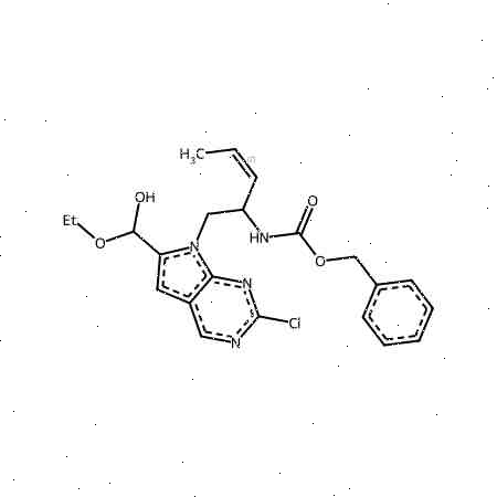 C/C=C\C(Cn1c(C(O)OCC)cc2cnc(Cl)nc21)NC(=O)OCc1ccccc1